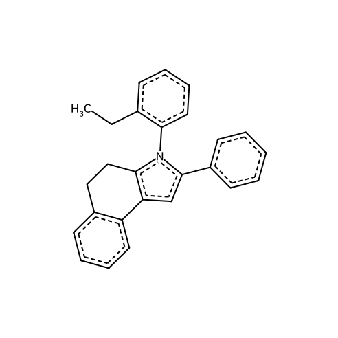 CCc1ccccc1-n1c(-c2ccccc2)cc2c1CCc1ccccc1-2